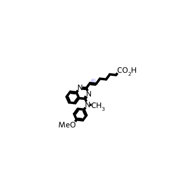 COc1ccc(N(C)c2nc(/C=C/CCCCC(=O)O)nc3ccccc23)cc1